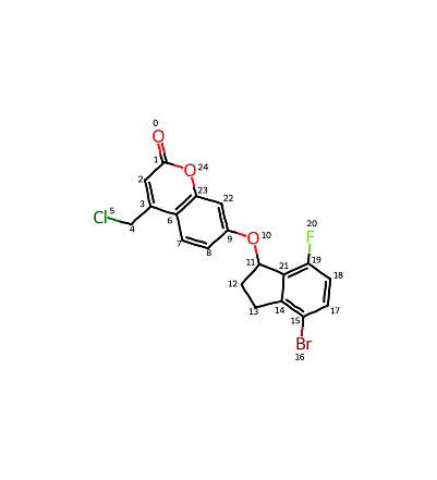 O=c1cc(CCl)c2ccc(OC3CCc4c(Br)ccc(F)c43)cc2o1